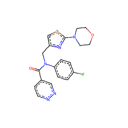 O=C(c1ccnnc1)N(Cc1csc(N2CCOCC2)n1)c1ccc(F)cc1